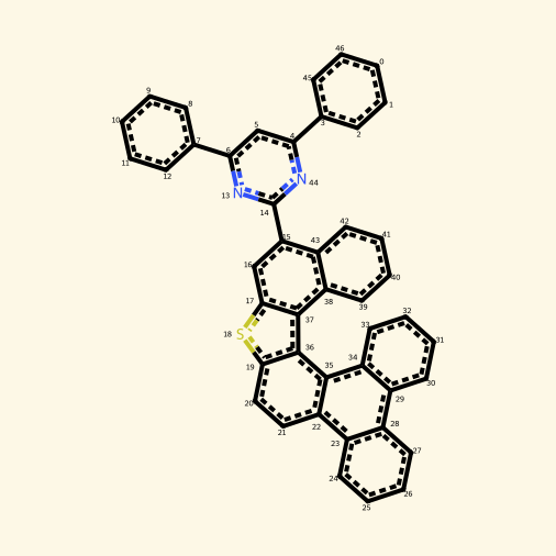 c1ccc(-c2cc(-c3ccccc3)nc(-c3cc4sc5ccc6c7ccccc7c7ccccc7c6c5c4c4ccccc34)n2)cc1